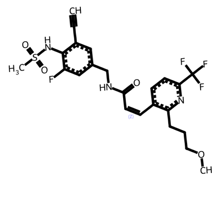 C#Cc1cc(CNC(=O)/C=C\c2ccc(C(F)(F)F)nc2CCCOC)cc(F)c1NS(C)(=O)=O